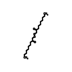 CCCCCCCCC(=O)COOCC(=O)CCCCCCCC